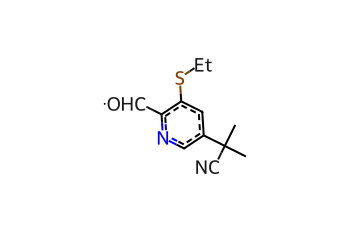 CCSc1cc(C(C)(C)C#N)cnc1[C]=O